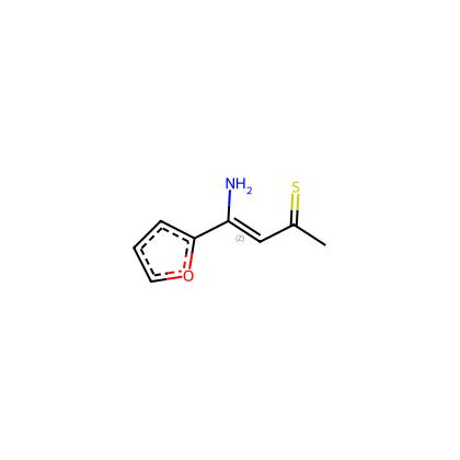 CC(=S)/C=C(\N)c1ccco1